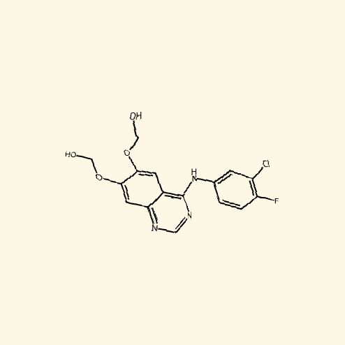 OCOc1cc2ncnc(Nc3ccc(F)c(Cl)c3)c2cc1OCO